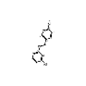 Clc1cccc(NCc2ccc(Cl)nc2)c1